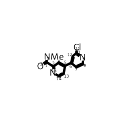 CNC(=O)c1cc(-c2ccnc(Cl)c2)ccn1